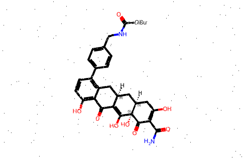 CC(C)COC(=O)NCc1ccc(-c2ccc(O)c3c2C[C@H]2C[C@H]4CC(O)=C(C(N)=O)C(=O)[C@@]4(O)C(O)=C2C3=O)cc1